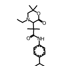 CCN1CC(C)(C)OC(=O)C1C(C)(C)C(=O)Nc1ccc(C(C)C)cc1